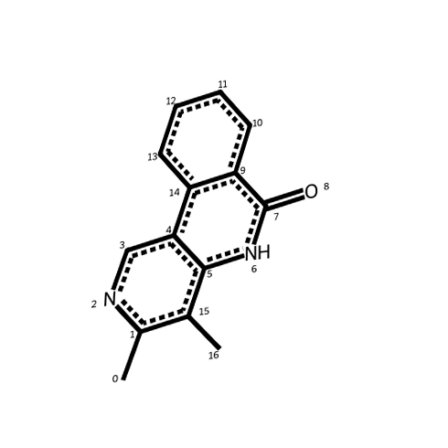 Cc1ncc2c([nH]c(=O)c3ccccc32)c1C